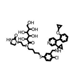 O=C1NCCN1CCN(CCCCSc1ccc(Cl)c(CNC2(c3cnccc3-c3ccccc3OC3CC3)CC2)c1)C(=O)C(O)C(O)C(O)C(O)CO